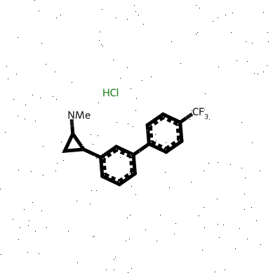 CNC1CC1c1cccc(-c2ccc(C(F)(F)F)cc2)c1.Cl